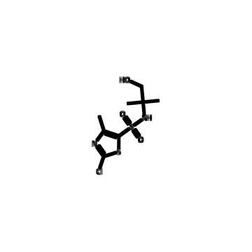 Cc1nc(Cl)sc1S(=O)(=O)NC(C)(C)CO